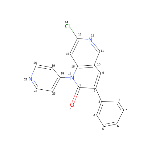 O=c1c(-c2ccccc2)cc2cnc(Cl)cc2n1-c1ccncc1